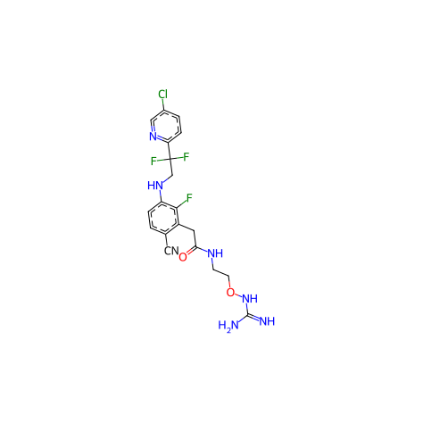 N#Cc1ccc(NCC(F)(F)c2ccc(Cl)cn2)c(F)c1CC(=O)NCCONC(=N)N